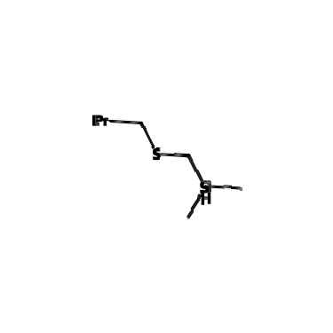 CC(C)CSC[SiH](C)C